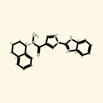 CN(C(=O)c1cnn(-c2nc3ccccc3s2)c1)[C@H]1CCCc2ccccc21